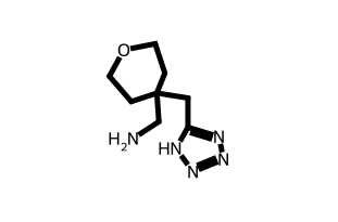 NCC1(Cc2nnn[nH]2)CCOCC1